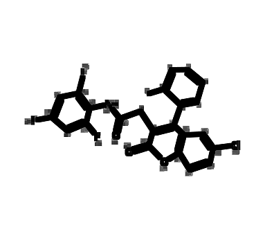 Cc1ccccc1-c1c(CC(=O)Nc2c(F)cc(F)cc2F)c(=O)oc2ccc(Cl)cc12